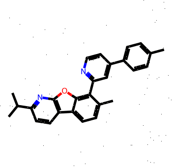 Cc1ccc(-c2ccnc(-c3c(C)ccc4c3oc3nc(C(C)C)ccc34)c2)cc1